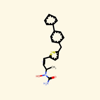 CC(/C=C\c1ccc(Cc2ccc(-c3ccccc3)cc2)s1)N(O)C(N)=O